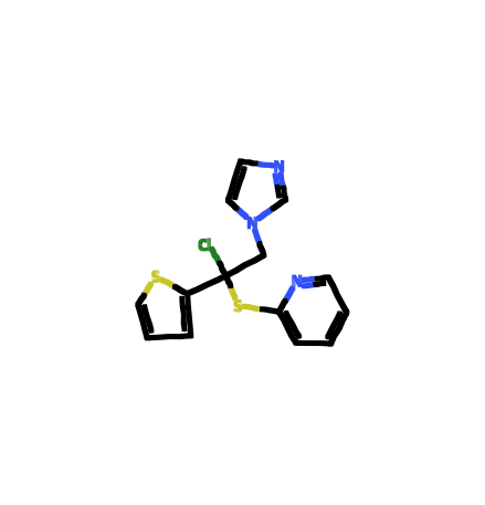 ClC(Cn1ccnc1)(Sc1ccccn1)c1cccs1